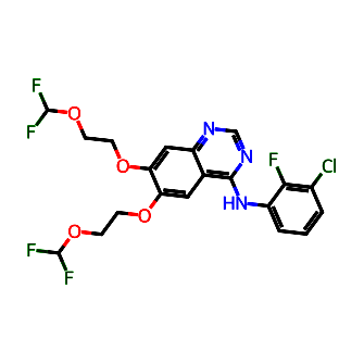 Fc1c(Cl)cccc1Nc1ncnc2cc(OCCOC(F)F)c(OCCOC(F)F)cc12